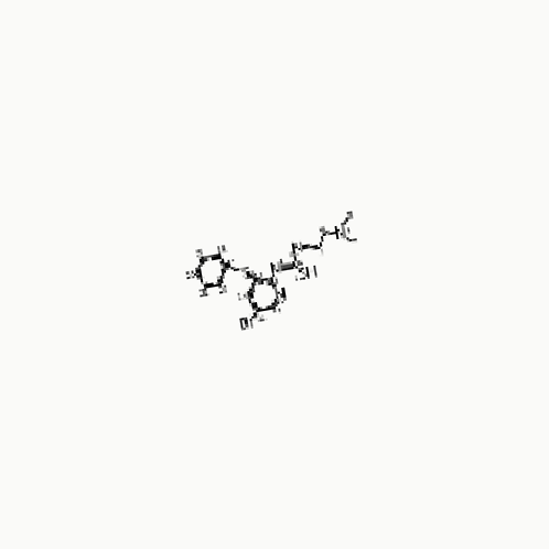 CN(C)CC=NC(S)=Nc1ncc(Br)cc1Sc1ccccc1